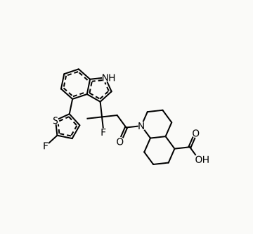 CC(F)(CC(=O)N1CCCC2C(C(=O)O)CCCC21)c1c[nH]c2cccc(-c3ccc(F)s3)c12